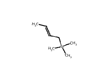 C/C=C/[CH][Si](C)(C)C